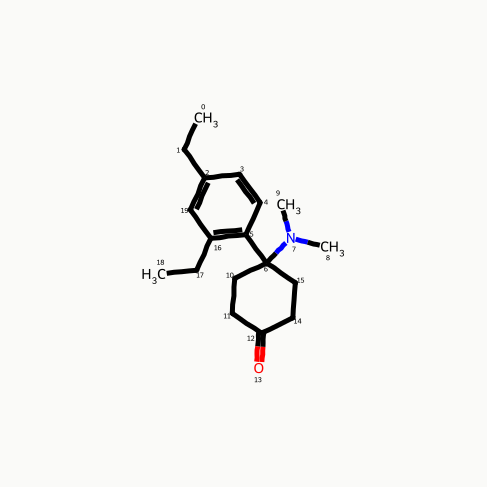 CCc1ccc(C2(N(C)C)CCC(=O)CC2)c(CC)c1